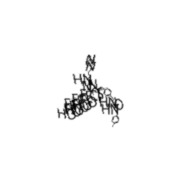 Cc1ccc(CNC(=O)NCc2ccc3cc(-c4nc(NCCCN5CCN(C)CC5)ncc4Cl)sc3c2)cc1.O=C(O)C(F)(F)F.O=C(O)C(F)(F)F.O=C(O)C(F)(F)F